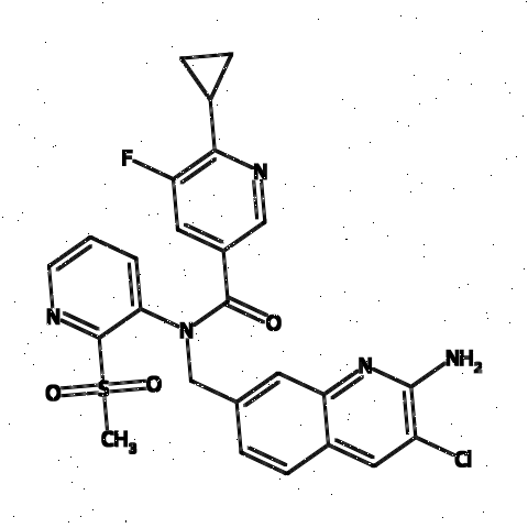 CS(=O)(=O)c1ncccc1N(Cc1ccc2cc(Cl)c(N)nc2c1)C(=O)c1cnc(C2CC2)c(F)c1